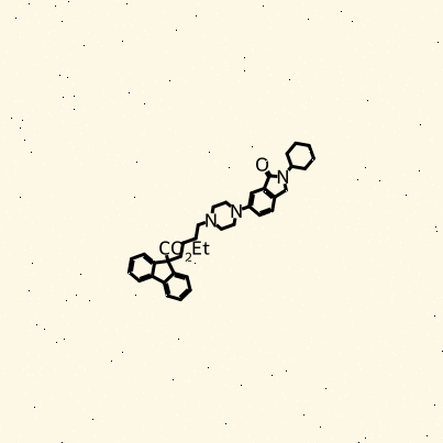 CCOC(=O)C1(CCCCN2CCN(c3ccc4c(c3)C(=O)N(C3CCCCC3)C4)CC2)c2ccccc2-c2ccccc21